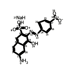 Nc1ccc2cc(S(=O)(=O)O)c(N=Nc3ccc([N+](=O)[O-])cc3)c(O)c2c1.[NaH]